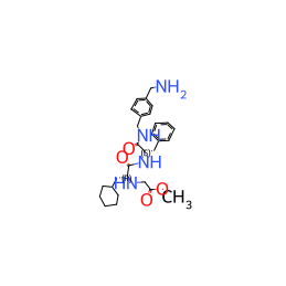 COC(=O)CN[C@H](CC1CCCCC1)C(=O)N[C@@H](Cc1ccccc1)C(=O)NCc1ccc(CN)cc1